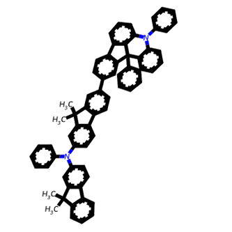 CC1(C)c2ccccc2-c2ccc(N(c3ccccc3)c3ccc4c(c3)C(C)(C)c3cc(-c5ccc6c(c5)C5(c7ccccc7)c7ccccc7N(c7ccccc7)c7cccc-6c75)ccc3-4)cc21